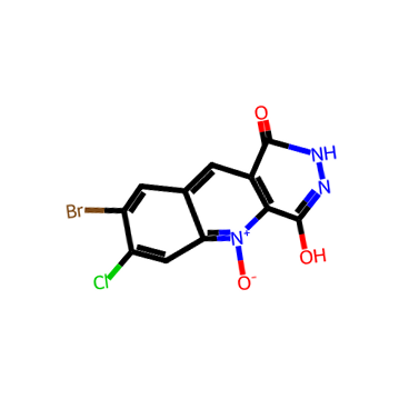 O=c1[nH]nc(O)c2c1cc1cc(Br)c(Cl)cc1[n+]2[O-]